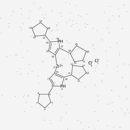 [Cl-].[Cl-].c1c(C2CCCC2)[pH]c(C2CCCC2)[c]1[Zr+2][c]1cc(C2CCCC2)[pH]c1C1CCCC1